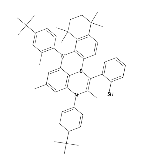 CC1=C(c2ccccc2S)B2c3ccc4c(c3N(c3ccc(C(C)(C)C)cc3C)c3cc(C)cc(c32)N1C1=CCC(C(C)(C)C)C=C1)C(C)(C)CCC4(C)C